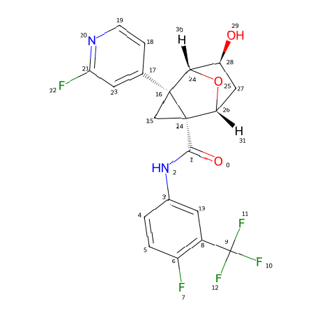 O=C(Nc1ccc(F)c(C(F)(F)F)c1)[C@]12C[C@@]1(c1ccnc(F)c1)[C@H]1O[C@@H]2C[C@@H]1O